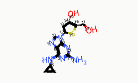 Nc1nc(NC2CC2)c2ncn([C@H]3C[C@H](O)[C@@H](CO)S3)c2n1